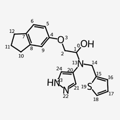 OC(COc1ccc2c(c1)CCC2)N(Cc1cccs1)c1cn[nH]c1